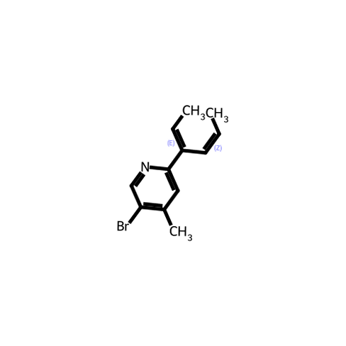 C/C=C\C(=C/C)c1cc(C)c(Br)cn1